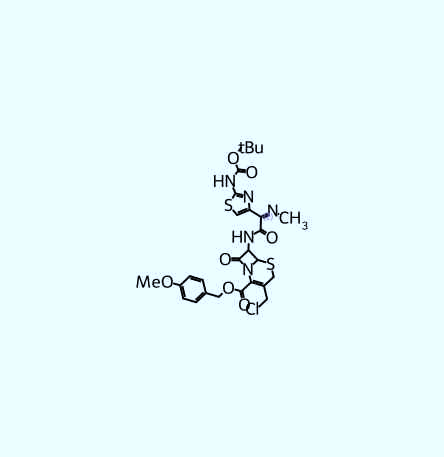 C/N=C(\C(=O)NC1C(=O)N2C(C(=O)OCc3ccc(OC)cc3)=C(CCl)CSC12)c1csc(NC(=O)OC(C)(C)C)n1